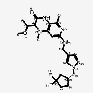 COC(C)C1C(=O)Nc2c(cc(NCc3cnn(C[C@@H]4CCC(F)(F)C4)c3)nc2C)N1C